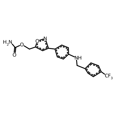 NC(=O)OCc1cc(-c2ccc(NCc3ccc(C(F)(F)F)cc3)cc2)no1